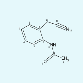 CC(=O)Nc1ccccc1CC#N